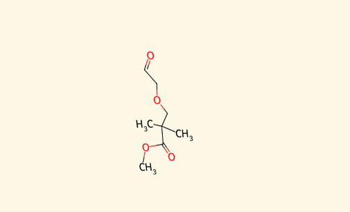 COC(=O)C(C)(C)COCC=O